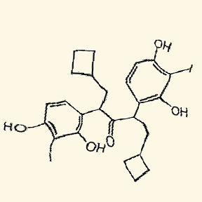 O=C(C(CC1CCC1)c1ccc(O)c(I)c1O)C(CC1CCC1)c1ccc(O)c(I)c1O